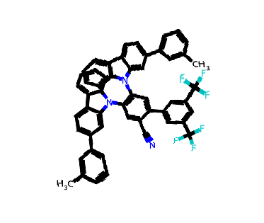 Cc1cccc(-c2ccc3c4ccccc4n(-c4cc(C#N)c(-c5cc(C(F)(F)F)cc(C(F)(F)F)c5)cc4-n4c5ccccc5c5ccc(-c6cccc(C)c6)cc54)c3c2)c1